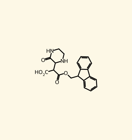 O=C1NCCNC1C(C(=O)O)C(=O)OCC1c2ccccc2-c2ccccc21